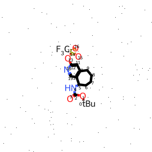 CC(C)(C)OC(=O)NC1CCCCc2cc(OS(=O)(=O)C(F)(F)F)ncc21